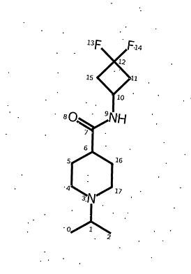 CC(C)N1CCC(C(=O)NC2CC(F)(F)C2)CC1